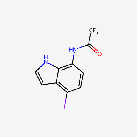 O=C(Nc1ccc(I)c2cc[nH]c12)C(F)(F)F